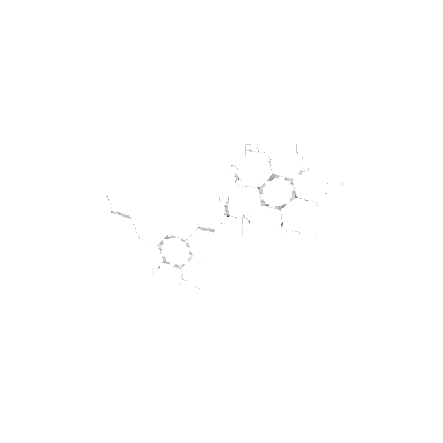 CC=CCc1cc(C=CC(=O)Nc2c(SF)c(SF)c(SF)c(SF)c2SF)cc(OC)c1O